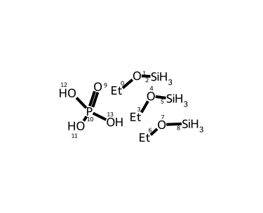 CCO[SiH3].CCO[SiH3].CCO[SiH3].O=P(O)(O)O